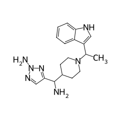 CC(c1c[nH]c2ccccc12)N1CCC(C(N)c2cnn(N)n2)CC1